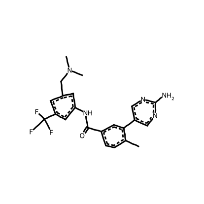 Cc1ccc(C(=O)Nc2cc(CN(C)C)cc(C(F)(F)F)c2)cc1-c1cnc(N)nc1